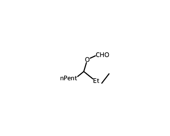 CC.CCCCCC(CC)OC=O